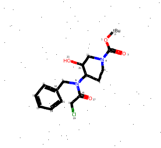 CC(C)(C)OC(=O)N1CCC(N(Cc2ccccc2)C(=O)CCl)C(O)C1